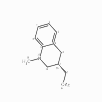 CC(=O)OC[C@@H]1Cc2ccccc2N(C)C1